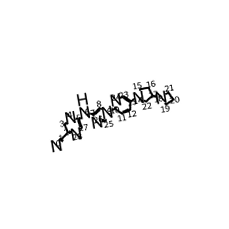 N#Cc1cnc(Nc2cn(-c3ccc(N4CCC(N5CCC5)C4)cn3)cn2)cn1